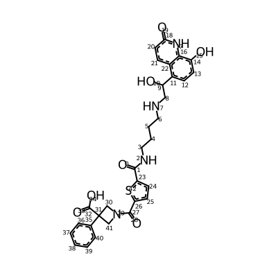 O=C(NCCCCNCC(O)c1ccc(O)c2[nH]c(=O)ccc12)c1ccc(C(=O)N2CC(C(=O)O)(c3ccccc3)C2)s1